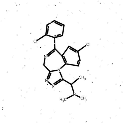 CC(c1nnc2n1-c1ccc(Cl)cc1C(c1ccccc1Cl)=NC2)N(C)C